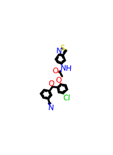 N#Cc1cccc(C(=O)c2cc(Cl)ccc2OCC(=O)Nc2ccc3nscc3c2)c1